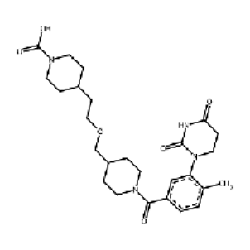 Cc1ccc(C(=O)N2CCC(COCCC3CCN(C(=O)O)CC3)CC2)cc1N1CCC(=O)NC1=O